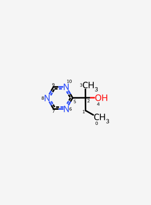 CCC(C)(O)c1ncncn1